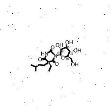 CC[C@@]1(CCC(C)C)C(=O)NC(=O)N([C@@H]2O[C@H](CO)[C@@H](O)[C@H](O)[C@H]2O)C1=O